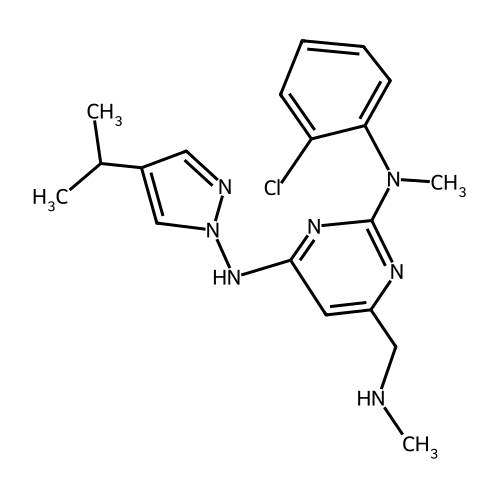 CNCc1cc(Nn2cc(C(C)C)cn2)nc(N(C)c2ccccc2Cl)n1